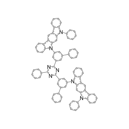 c1ccc(-c2cc(-c3nc(-c4ccccc4)nc(-c4cc(-c5ccccc5)cc(-n5c6ccccc6c6cc7c8ccccc8n(-c8ccccc8)c7cc65)c4)n3)cc(-n3c4ccccc4c4cc5c6ccccc6n(-c6ccccc6)c5cc43)c2)cc1